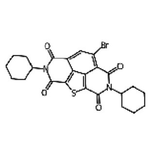 O=C1c2cc(Br)c3c4c(sc(c24)C(=O)N1C1CCCCC1)C(=O)N(C1CCCCC1)C3=O